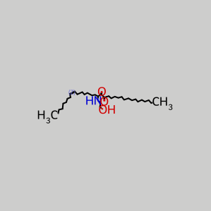 CCCCCCCC/C=C\CCCCCCC(NCCO)C(=O)C(=O)CCCCCCCCCCCCCCC